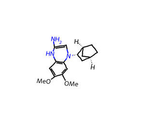 COc1cc2c(cc1OC)N([C@H]1C[C@@H]3CC[C@H]1C3)C=C(N)N2